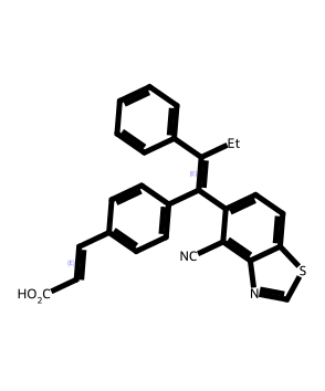 CC/C(=C(/c1ccc(/C=C/C(=O)O)cc1)c1ccc2scnc2c1C#N)c1ccccc1